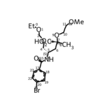 CCOCOC[C@H](C[C@@](C)(OCCOC)C(=O)O)NC(=O)c1ccc(Br)cc1